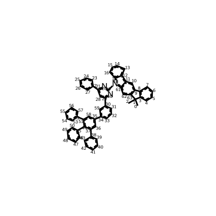 CC1(C)c2ccccc2-c2cc3c4ccccc4n(-c4nc(-c5ccccc5)cc(-c5cccc(-c6cc(-c7ccccc7)c(-c7ccccc7)c(-c7ccccc7)c6)c5)n4)c3cc21